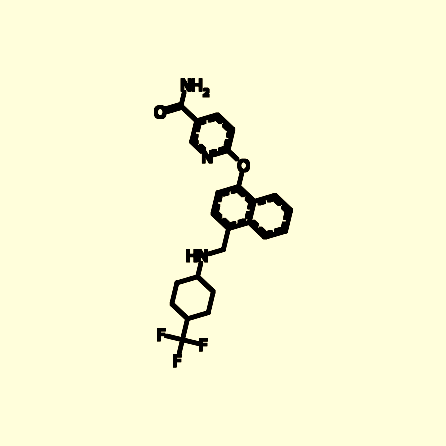 NC(=O)c1ccc(Oc2ccc(CNC3CCC(C(F)(F)F)CC3)c3ccccc23)nc1